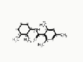 Cc1cc(C)c(C(=O)NC2CCCC(C)C2C)c(C)c1